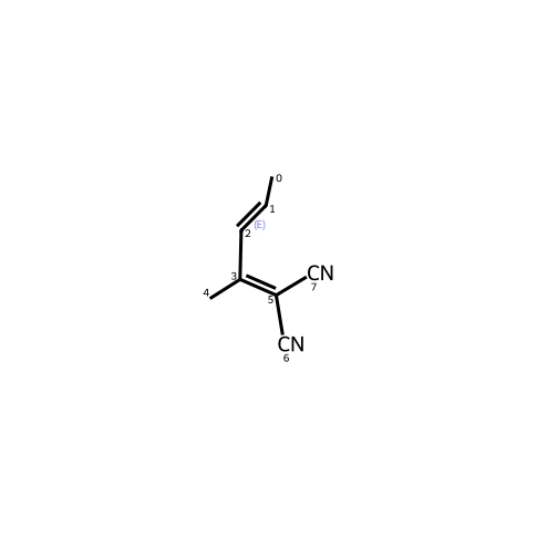 C/C=C/C(C)=C(C#N)C#N